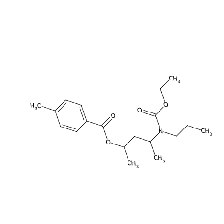 CCCN(C(=O)OCC)C(C)CC(C)OC(=O)c1ccc(C)cc1